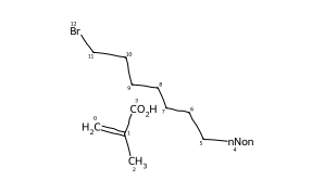 C=C(C)C(=O)O.CCCCCCCCCCCCCCCCBr